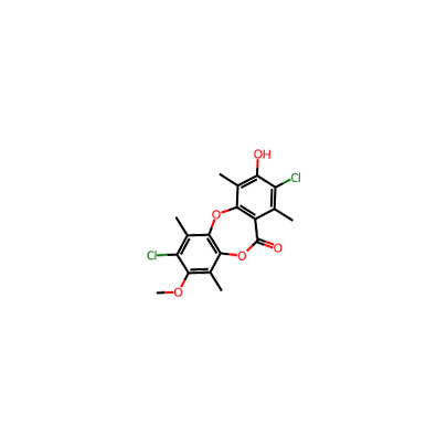 COc1c(C)c2c(c(C)c1Cl)Oc1c(C)c(O)c(Cl)c(C)c1C(=O)O2